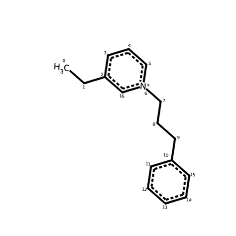 CCc1ccc[n+](CCCc2ccccc2)c1